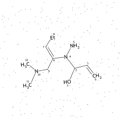 C=CC(O)N(N)/C(=C\CC)CN(C)C